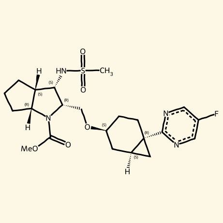 COC(=O)N1[C@@H]2CCC[C@@H]2[C@H](NS(C)(=O)=O)[C@@H]1CO[C@H]1CC[C@@]2(c3ncc(F)cn3)C[C@H]2C1